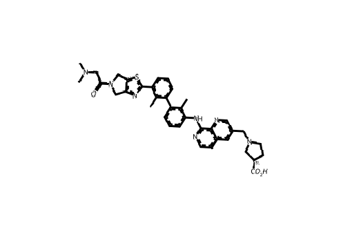 Cc1c(Nc2nccc3cc(CN4CC[C@@H](C(=O)O)C4)cnc23)cccc1-c1cccc(-c2nc3c(s2)CN(C(=O)CN(C)C)C3)c1C